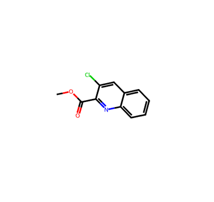 COC(=O)c1nc2ccccc2cc1Cl